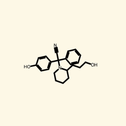 N#CC(c1ccccc1)(c1ccc(O)cc1)N1CCCCC1CCCO